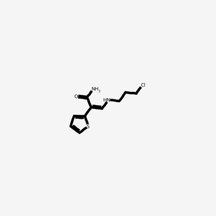 NC(=O)/C(=C\NCCCCl)c1cccs1